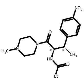 CCC(=O)N[C@@H](C(=O)N1CCN(C)CC1)[C@@H](C)c1ccc([N+](=O)[O-])cc1